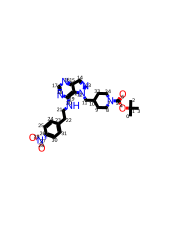 CC(C)(C)OC(=O)N1CCC(Cn2ncc3ncnc(NCCc4ccc([N+](=O)[O-])cc4)c32)CC1